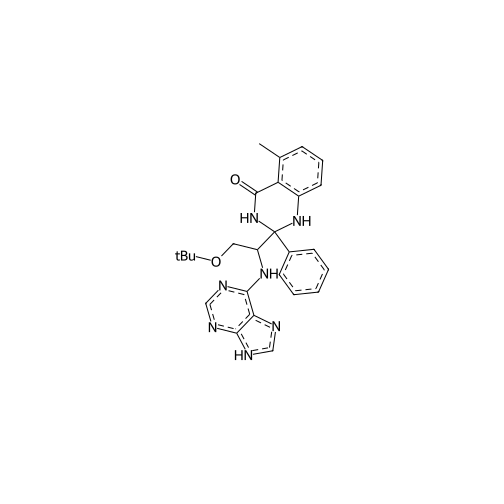 Cc1cccc2c1C(=O)NC(c1ccccc1)(C(COC(C)(C)C)Nc1ncnc3[nH]cnc13)N2